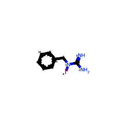 N=C(N)N(I)Cc1ccccc1